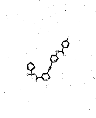 C[S@@](=O)(=NC(=O)c1cncc(C#Cc2ccc(NC(=O)c3ccc(F)cc3)cc2)c1)c1ccccc1